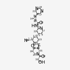 N#Cc1cc(-c2ccnc(NC(=O)[C@@H]3C[C@H]3c3cncnc3)c2)ccc1O[C@H]1CCN(C(=O)CO)C[C@H]1F